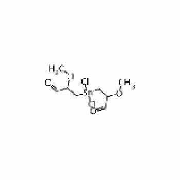 COC(C=O)[CH2][Sn]([Cl])([Cl])[CH2]C(C=O)OC